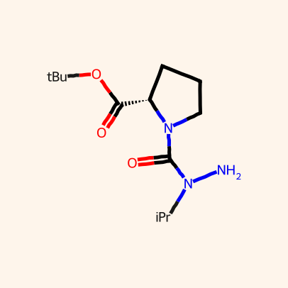 CC(C)N(N)C(=O)N1CCC[C@H]1C(=O)OC(C)(C)C